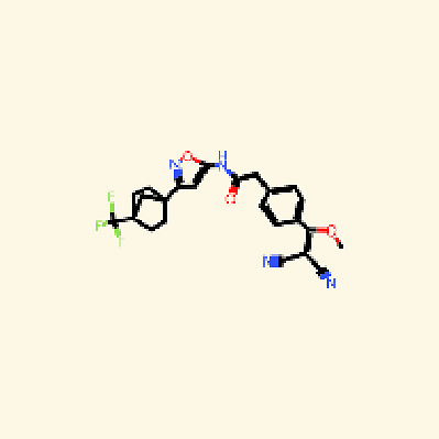 COC(=C(C#N)C#N)c1ccc(CC(=O)Nc2cc(C34CCC(C(F)(F)F)(CC3)C4)no2)cc1